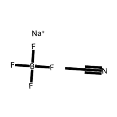 CC#N.F[B-](F)(F)F.[Na+]